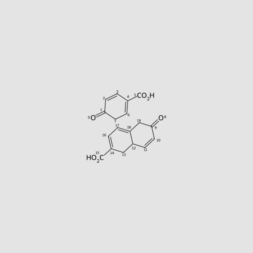 O=C1C=CC(C(=O)O)=CC1.O=C1C=CC2CC(C(=O)O)=CC=C2C1